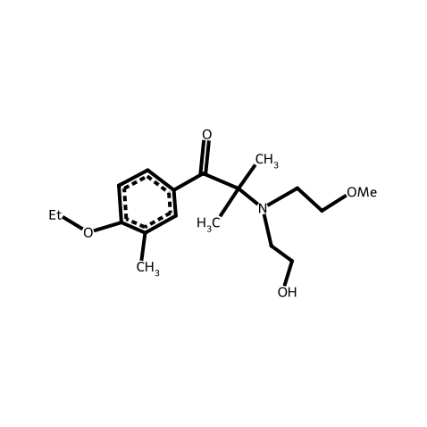 CCOc1ccc(C(=O)C(C)(C)N(CCO)CCOC)cc1C